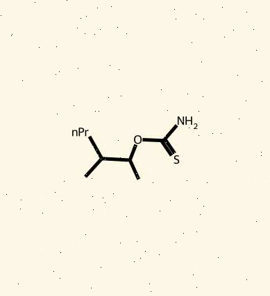 CCCC(C)C(C)OC(N)=S